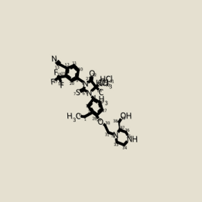 CCc1cc(N2C(=S)N(c3ccc(C#N)c(C(F)(F)F)c3)C(=O)C2(C)C)ccc1OCCN1CCNC[C@@H]1CO.Cl.Cl